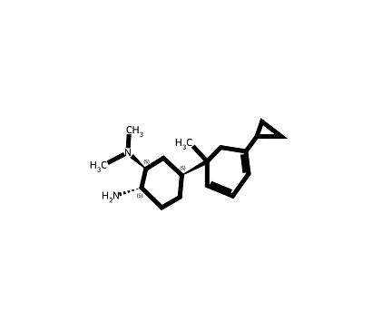 CN(C)[C@H]1C[C@@H](C2(C)C=CC=C(C3CC3)C2)CC[C@@H]1N